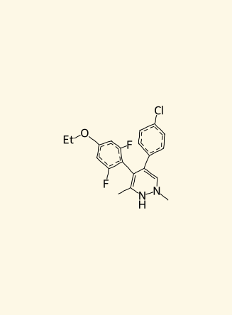 CCOc1cc(F)c(C2=C(C)NN(C)C=C2c2ccc(Cl)cc2)c(F)c1